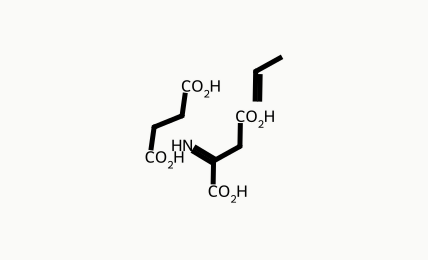 C=CC.N=C(CC(=O)O)C(=O)O.O=C(O)CCC(=O)O